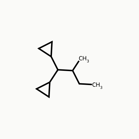 CCC(C)[C](C1CC1)C1CC1